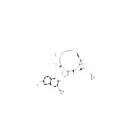 CC[C@@H]1C[C@H](C)CC/C=C\[C@@H]2C[C@@]2(C(=O)NS(=O)(=O)C2CC2)NC(=O)[C@@H]2C[C@@H](Oc3nc4ccc(OC)cc4nc3C3CC3)CN2C(=O)[C@H]1N